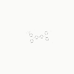 CCO[Si](C)(OCC)c1ccc(N(c2ccc(C)cc2)c2ccc(-c3ccc(N(c4ccc(C)cc4)c4ccc(C)cc4)cc3)cc2)cc1